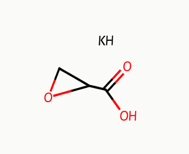 O=C(O)C1CO1.[KH]